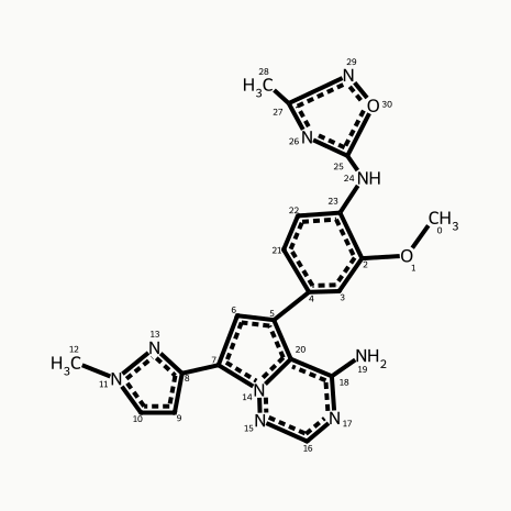 COc1cc(-c2cc(-c3ccn(C)n3)n3ncnc(N)c23)ccc1Nc1nc(C)no1